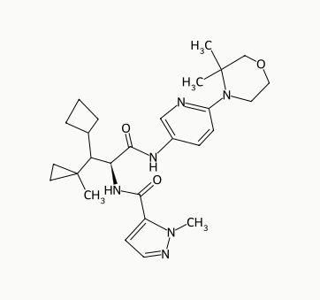 Cn1nccc1C(=O)N[C@H](C(=O)Nc1ccc(N2CCOCC2(C)C)nc1)C(C1CCC1)C1(C)CC1